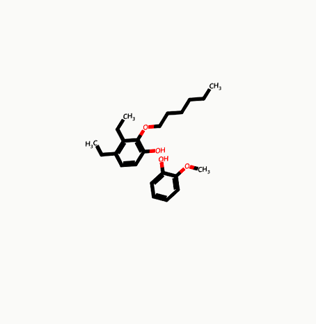 CCCCCCOc1c(O)ccc(CC)c1CC.COc1ccccc1O